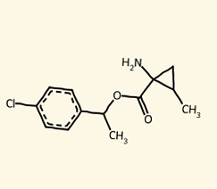 CC(OC(=O)C1(N)CC1C)c1ccc(Cl)cc1